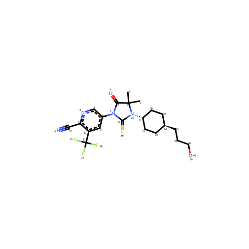 CC1(C)C(=O)N(c2cnc(C#N)c(C(F)(F)F)c2)C(=S)N1[C@H]1CC[C@H](CCCO)CC1